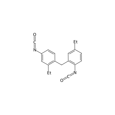 CCc1ccc(N=C=O)c(Cc2ccc(N=C=O)cc2CC)c1